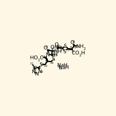 CO[C@@]1(NC(=O)C2SC(=C(C(N)=O)C(=O)O)S2)C(=O)N2C(C(=O)O)=C(CSc3nnnn3C)CS[C@@H]21.[NaH].[NaH]